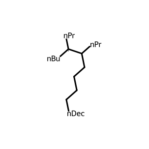 CCCCCCCCCCCCCCC(CCC)[C](CCC)CCCC